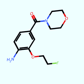 Nc1ccc(C(=O)N2CCOCC2)cc1OCCF